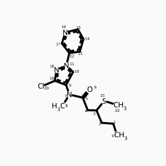 CCCC(CC(=O)N(C)c1cn(-c2cccnc2)nc1Cl)SC